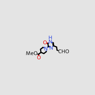 COC(=O)C1CCN(c2nc(CCC=O)c[nH]c2=O)CC1